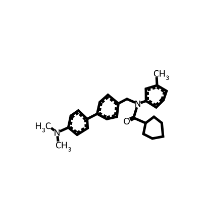 Cc1cccc(N(Cc2ccc(-c3ccc(N(C)C)cc3)cc2)C(=O)C2CCCCC2)c1